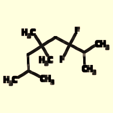 CC(C)CC(C)(C)CC(F)(F)C(C)C